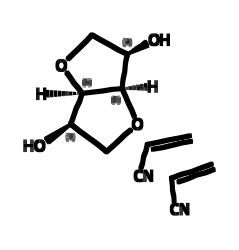 C=CC#N.C=CC#N.O[C@@H]1CO[C@H]2[C@@H]1OC[C@H]2O